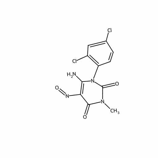 Cn1c(=O)c(N=O)c(N)n(-c2ccc(Cl)cc2Cl)c1=O